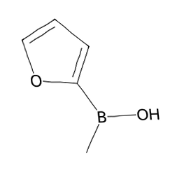 CB(O)c1ccco1